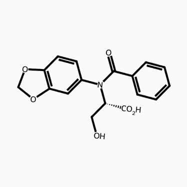 O=C(O)[C@H](CO)N(C(=O)c1ccccc1)c1ccc2c(c1)OCO2